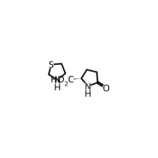 C1CSCN1.O=C1CC[C@@H](C(=O)O)N1